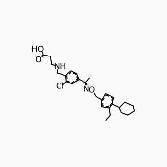 CCc1cc(CO/N=C(\C)c2ccc(CNCCC(=O)O)c(Cl)c2)ccc1C1CCCCC1